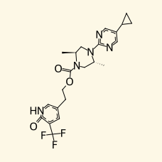 C[C@@H]1CN(C(=O)OCCc2c[nH]c(=O)c(C(F)(F)F)c2)[C@@H](C)CN1c1ncc(C2CC2)cn1